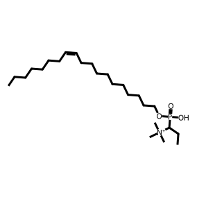 CCCCCCC/C=C\CCCCCCCCCCOP(=O)(O)C(CC)[N+](C)(C)C